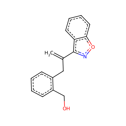 C=C(Cc1ccccc1CO)c1noc2ccccc12